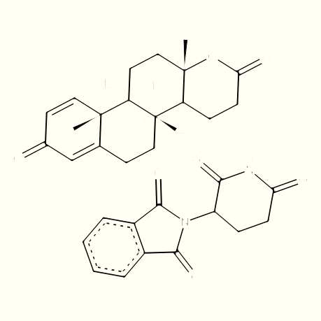 C[C@]12C=CC(=O)C=C1CC[C@@H]1[C@@H]2CC[C@]2(C)OC(=O)CC[C@@H]12.O=C1CCC(N2C(=O)c3ccccc3C2=O)C(=O)N1